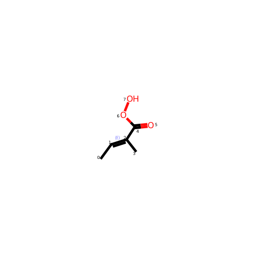 C/C=C(\C)C(=O)OO